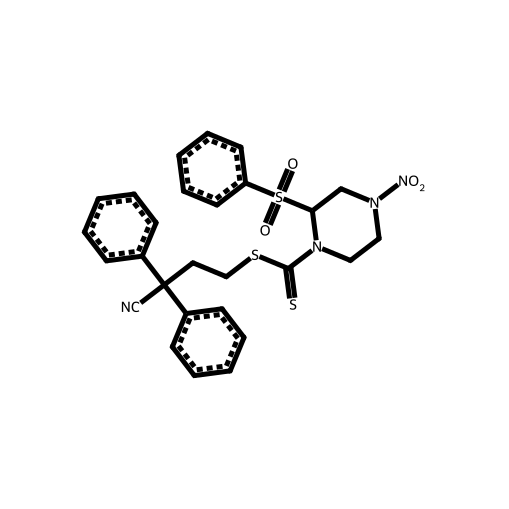 N#CC(CCSC(=S)N1CCN([N+](=O)[O-])CC1S(=O)(=O)c1ccccc1)(c1ccccc1)c1ccccc1